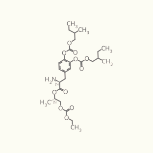 CCOC(=O)OC[C@H](C)OC(=O)[C@@H](N)Cc1ccc(OC(=O)OCC(C)CC)c(OC(=O)OCC(C)CC)c1